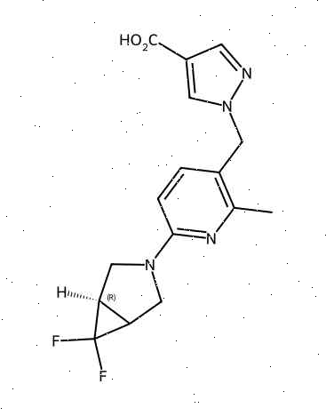 Cc1nc(N2CC3[C@H](C2)C3(F)F)ccc1Cn1cc(C(=O)O)cn1